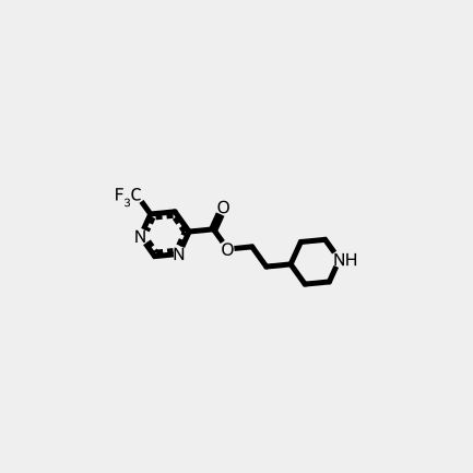 O=C(OCCC1CCNCC1)c1cc(C(F)(F)F)ncn1